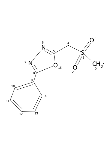 [CH2]S(=O)(=O)Cc1nnc(-c2ccccc2)o1